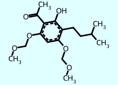 COCOc1cc(OCOC)c(C(C)=O)c(O)c1CCC(C)C